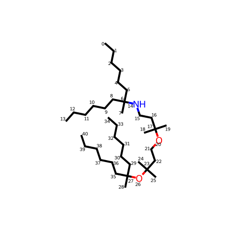 CCCCCCC(C)(CCCCCC)NCCC(C)(C)OCCC(C)(C)OC(C)(CCCCCC)CCCCCC